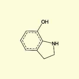 Oc1cccc2c1NCC2